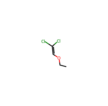 CCOC=C(Cl)Cl